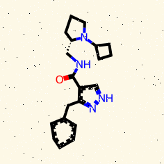 O=C(NC[C@@H]1CCCN1C1CCC1)c1c[nH]nc1[CH]c1ccccc1